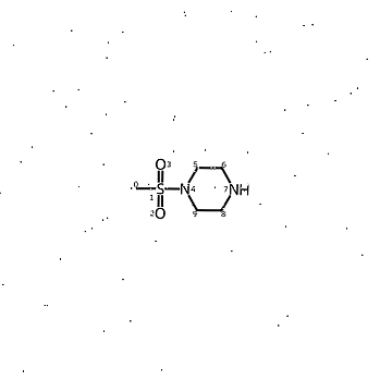 [CH2]S(=O)(=O)N1CCNCC1